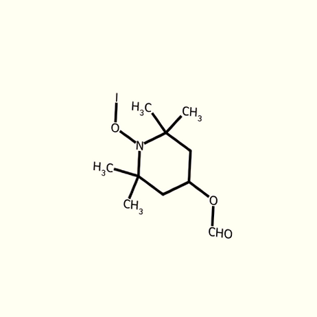 CC1(C)CC(OC=O)CC(C)(C)N1OI